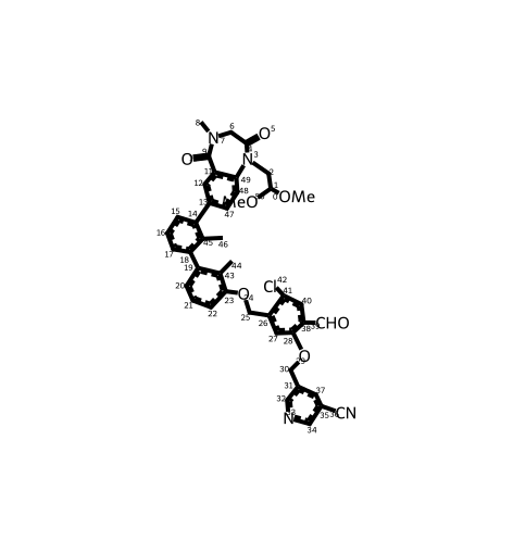 COC(CN1C(=O)CN(C)C(=O)c2cc(-c3cccc(-c4cccc(OCc5cc(OCc6cncc(C#N)c6)c(C=O)cc5Cl)c4C)c3C)ccc21)OC